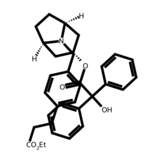 CCOC(=O)CCc1ccc(CN2[C@@H]3CC[C@H]2C[C@H](OC(=O)C(O)(c2ccccc2)c2ccccc2)C3)cc1